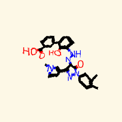 Cc1ccc(N2N=C(c3ccn(C)c3)/C(=N/Nc3cccc(-c4cccc(C(=O)O)c4)c3O)C2=O)cc1C